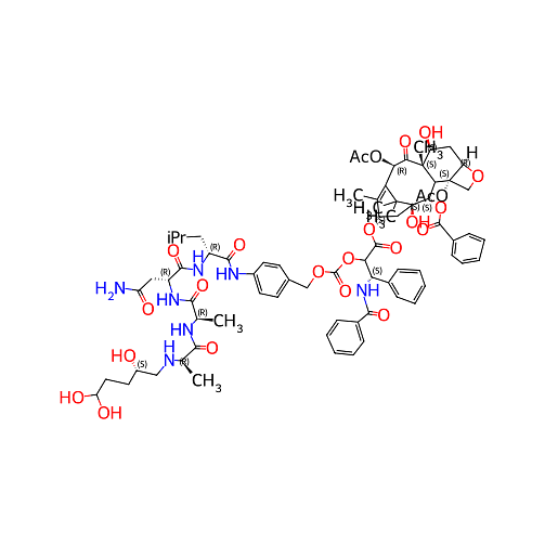 CC(=O)O[C@H]1C(=O)[C@@]2(C)C([C@H](OC(=O)c3ccccc3)[C@]3(O)C[C@H](OC(=O)C(OC(=O)OCc4ccc(NC(=O)[C@@H](CC(C)C)NC(=O)[C@@H](CC(N)=O)NC(=O)[C@@H](C)NC(=O)[C@@H](C)NC[C@@H](O)CCC(O)O)cc4)[C@@H](NC(=O)c4ccccc4)c4ccccc4)C(C)=C1C3(C)C)[C@]1(OC(C)=O)CO[C@@H]1C[C@@H]2O